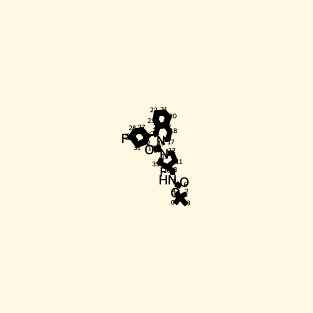 CC(C)(C)OC(=O)NCC1(F)CCN(C(=O)N2CCc3ccccc3[C@@H]2c2ccc(F)cc2)C1